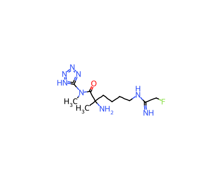 CN(C(=O)C(C)(N)CCCCNC(=N)CF)c1nnn[nH]1